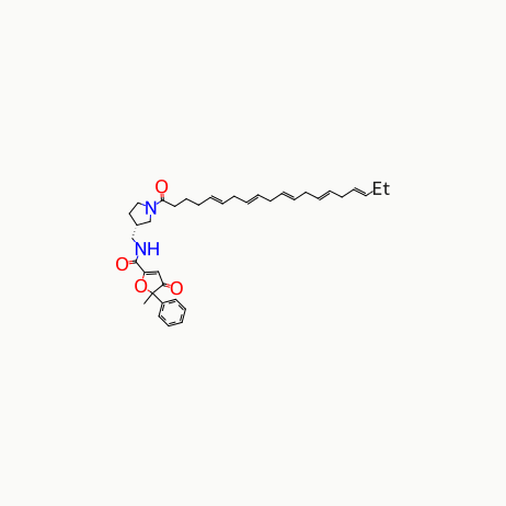 CCC=CCC=CCC=CCC=CCC=CCCCC(=O)N1CC[C@@H](CNC(=O)C2=CC(=O)C(C)(c3ccccc3)O2)C1